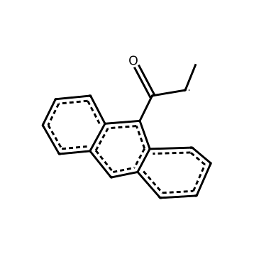 C[CH]C(=O)c1c2ccccc2cc2ccccc12